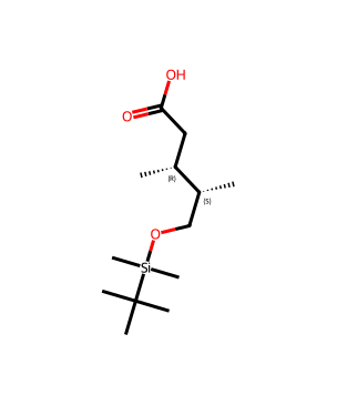 C[C@H](CO[Si](C)(C)C(C)(C)C)[C@H](C)CC(=O)O